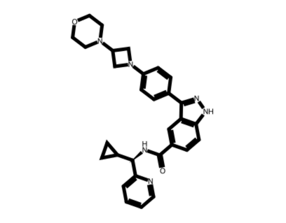 O=C(N[C@@H](c1ccccn1)C1CC1)c1ccc2[nH]nc(-c3ccc(N4CC(N5CCOCC5)C4)cc3)c2c1